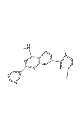 CNc1nc(-c2cccnc2)nc2cc(-c3cc(F)ccc3C)ccc12